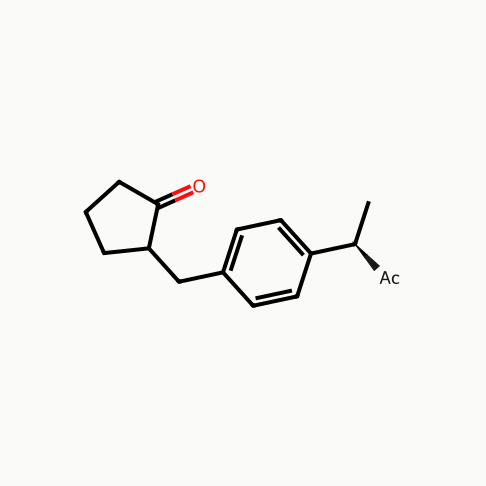 CC(=O)[C@H](C)c1ccc(CC2CCCC2=O)cc1